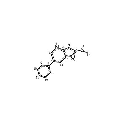 ISc1cc2ncc(-c3ccccc3)cc2o1